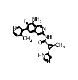 Cc1ccncc1-c1cc2cc(NC(=O)[C@H]3[C@@H](C)[C@@H]3c3cnc[nH]3)ncc2c(N)c1F